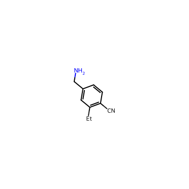 CCc1cc(CN)ccc1C#N